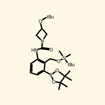 CC(C)(C)OC1CN(C(=O)Nc2cccc(B3OC(C)(C)C(C)(C)O3)c2CO[Si](C)(C)C(C)(C)C)C1